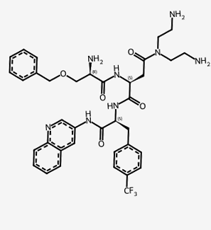 NCCN(CCN)C(=O)C[C@H](NC(=O)[C@H](N)COCc1ccccc1)C(=O)N[C@@H](Cc1ccc(C(F)(F)F)cc1)C(=O)Nc1cnc2ccccc2c1